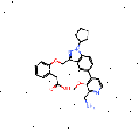 COc1c(-c2ccc3c(c2)c(COc2ccccc2CC(=O)O)nn3C2CCCC2)ccnc1CN